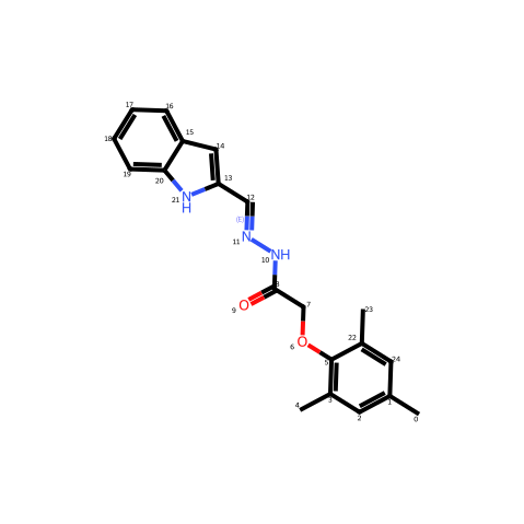 Cc1cc(C)c(OCC(=O)N/N=C/c2cc3ccccc3[nH]2)c(C)c1